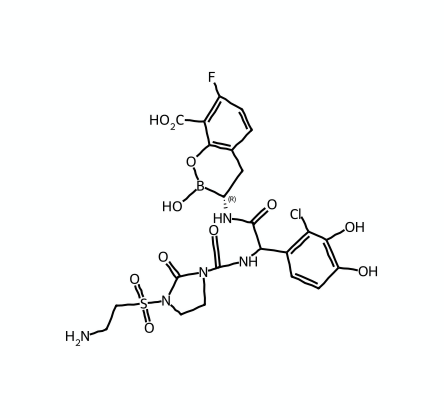 NCCS(=O)(=O)N1CCN(C(=O)NC(C(=O)N[C@H]2Cc3ccc(F)c(C(=O)O)c3OB2O)c2ccc(O)c(O)c2Cl)C1=O